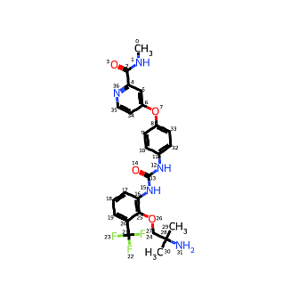 CNC(=O)c1cc(Oc2ccc(NC(=O)Nc3cccc(C(F)(F)F)c3OCC(C)(C)N)cc2)ccn1